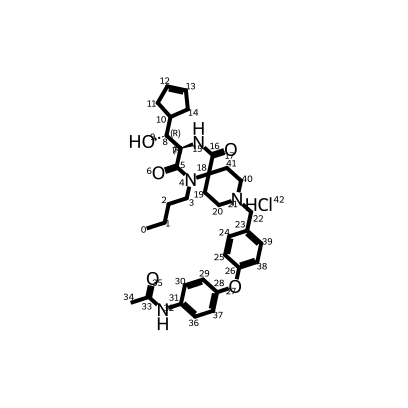 CCCCN1C(=O)[C@@H]([C@H](O)C2CC=CC2)NC(=O)C12CCN(Cc1ccc(Oc3ccc(NC(C)=O)cc3)cc1)CC2.Cl